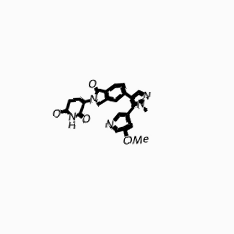 COc1cncc(-c2c(-c3ccc4c(c3)CN(C3CCC(=O)NC3=O)C4=O)cnn2C)c1